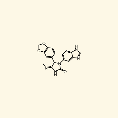 CN=C1NC(=O)N(c2ccc3[nH]cnc3c2)C1c1ccc2c(c1)OCO2